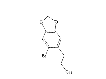 OCCc1cc2c(cc1Br)OCO2